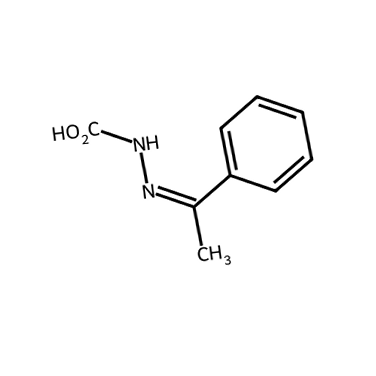 C/C(=N/NC(=O)O)c1ccccc1